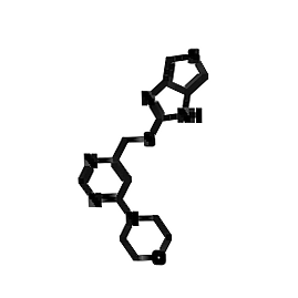 c1nc(CSc2nc3cscc3[nH]2)cc(N2CCOCC2)n1